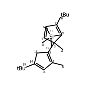 CC1=C(C2(C)[C]=C3C(C(C)(C)C)=C2[Si]3(C)C)CC(C(C)(C)C)=C1